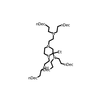 CCCCCCCCCCCCNCCN1CCN(CCN(CCCCCCCCCCCC)CCCCCCCCCCCC)CC1(CC)N(CCCCCCCCCCCC)CCCCCCCCCCCC